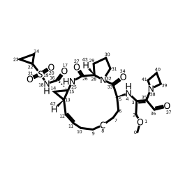 COC/C(N[C@H]1CCCCC/C=C\[C@@H]2C[C@@]2(C(=O)NS(=O)(=O)C2CC2)NC(=O)[C@@H]2CCCN2C1=O)=C(\C=O)N1CCC1